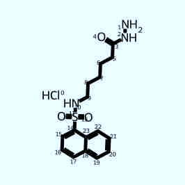 Cl.NNC(=O)CCCCCNS(=O)(=O)c1cccc2ccccc12